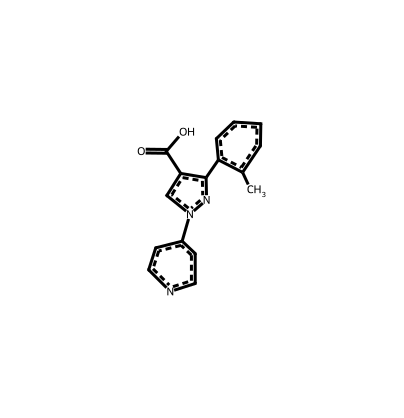 Cc1ccccc1-c1nn(-c2ccncc2)cc1C(=O)O